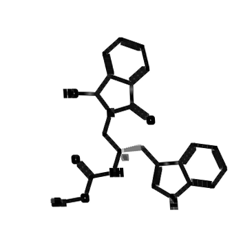 CC(C)(C)OC(=O)N[C@@H](Cc1c[nH]c2ccccc12)CN1C(=O)c2ccccc2C1O